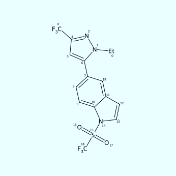 CCn1nc(C(F)(F)F)cc1-c1ccc2c(c[c]n2S(=O)(=O)C(F)(F)F)c1